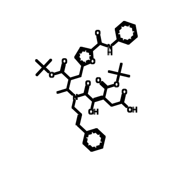 CC(C(Cc1ccc(C(=O)Nc2ccccc2)o1)C(=O)OC(C)(C)C)N(CC=Cc1ccccc1)C(=O)C(O)=C(CC(=O)O)C(=O)OC(C)(C)C